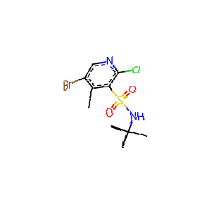 Cc1c(Br)cnc(Cl)c1S(=O)(=O)NC(C)(C)C